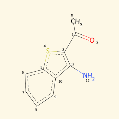 CC(=O)c1sc2ccccc2c1N